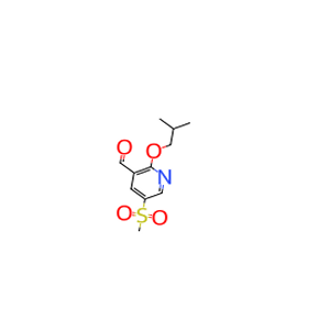 CC(C)COc1ncc(S(C)(=O)=O)cc1C=O